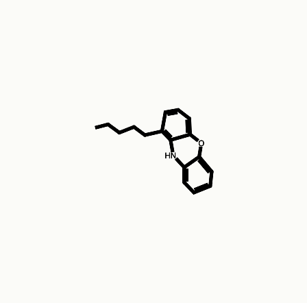 CCCCCc1cccc2c1Nc1ccccc1O2